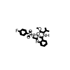 COC(=O)[C@@H](Nc1nc(CNS(=O)(=O)c2ccc(F)cc2)nc2ccccc12)C(C)C